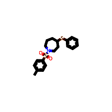 Cc1ccc(S(=O)(=O)N2CCCC(Sc3ccccc3)CC2)cc1